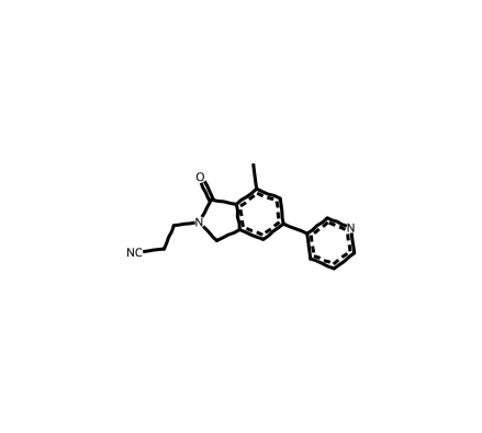 Cc1cc(-c2cccnc2)cc2c1C(=O)N(CCC#N)C2